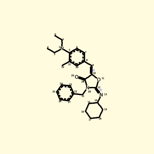 CCN(CC)c1ccc(/C=C2/O/C(=N/C3CCCCC3)N(Cc3ccccc3)C2=O)cc1C